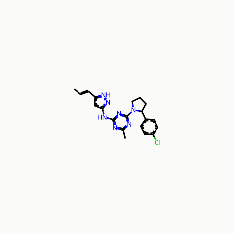 C/C=C/c1cc(Nc2nc(C)nc(N3CCCC3c3ccc(Cl)cc3)n2)n[nH]1